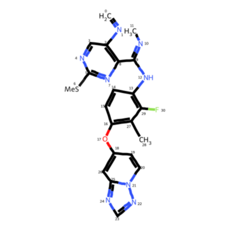 C=Nc1cnc(SC)nc1/C(=N\C)Nc1ccc(Oc2ccn3ncnc3c2)c(C)c1F